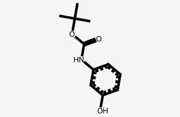 CC(C)(C)OC(=O)Nc1[c]ccc(O)c1